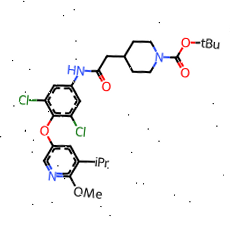 COc1ncc(Oc2c(Cl)cc(NC(=O)CC3CCN(C(=O)OC(C)(C)C)CC3)cc2Cl)cc1C(C)C